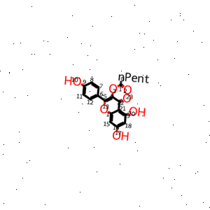 CCCCCC(=O)Oc1c(-c2ccc(O)cc2)oc2cc(O)cc(O)c2c1=O